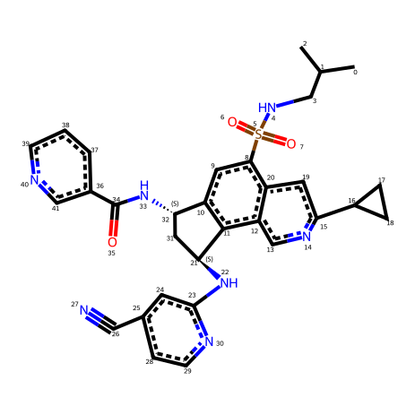 CC(C)CNS(=O)(=O)c1cc2c(c3cnc(C4CC4)cc13)[C@@H](Nc1cc(C#N)ccn1)C[C@@H]2NC(=O)c1cccnc1